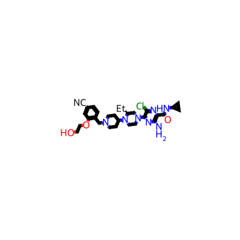 CC[C@H]1CN(c2nc(N)c(C(=O)NC3CC3)nc2Cl)CCN1C1CCN(Cc2ccc(C#N)cc2OCCO)CC1